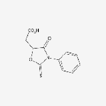 O=C(O)CC1OC(=S)N(c2ccccc2)C1=O